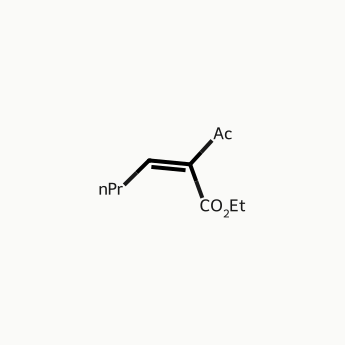 CCCC=C(C(C)=O)C(=O)OCC